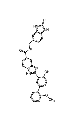 COc1ncccc1-c1ccc(O)c(-c2nc3cc(C(=O)NCc4ccc5[nH]c(=O)[nH]c5c4)ccc3[nH]2)c1